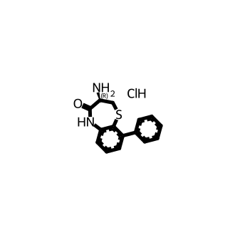 Cl.N[C@H]1CSc2c(cccc2-c2ccccc2)NC1=O